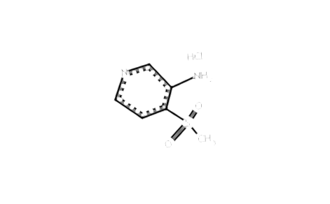 CS(=O)(=O)c1ccncc1N.Cl